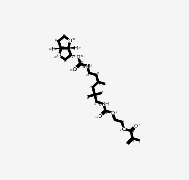 C=C(C)C(=O)OCCOC(=O)NCC(C)(C)CC(C)CCNC(=O)O[C@@H]1CO[C@@H]2CCO[C@@H]21